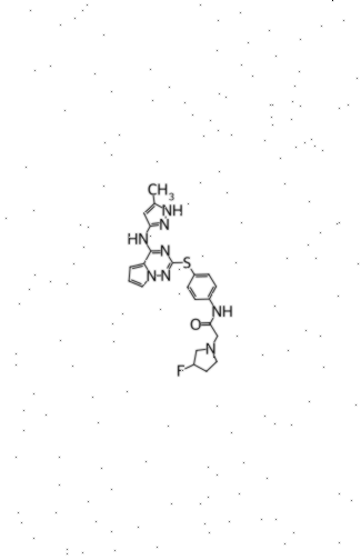 Cc1cc(Nc2nc(Sc3ccc(NC(=O)CN4CCC(F)C4)cc3)nn3cccc23)n[nH]1